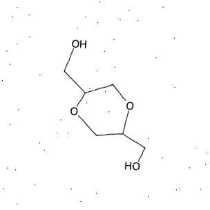 OCC1COC(CO)CO1